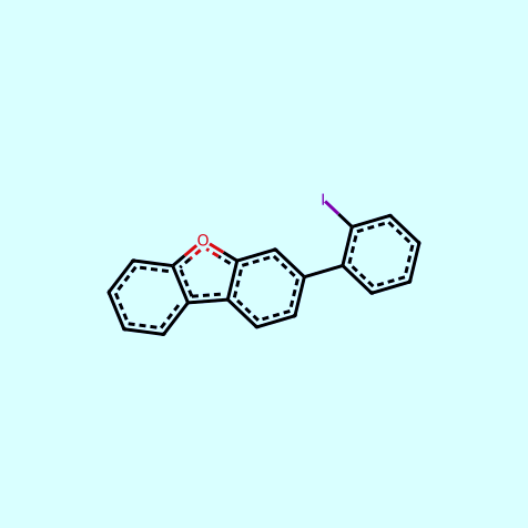 Ic1ccccc1-c1ccc2c(c1)oc1ccccc12